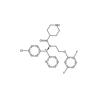 O=C(C1CCNCC1)N(CCOc1cc(F)ccc1F)[C@H](c1ccc(Cl)cc1)c1ccccn1